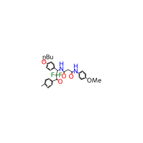 CCCCOc1ccc(C(NC(=O)CC(=O)Nc2ccc(OC)cc2)C(F)(F)C(=O)c2ccc(C)cc2)cc1